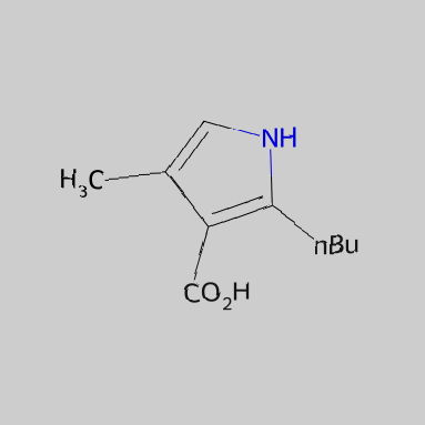 CCCCc1[nH]cc(C)c1C(=O)O